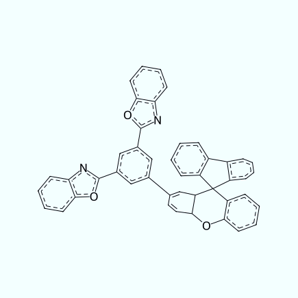 C1=CC2Oc3ccccc3C3(c4ccccc4-c4ccccc43)C2C=C1c1cc(-c2nc3ccccc3o2)cc(-c2nc3ccccc3o2)c1